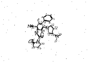 Cc1c(-c2ccccc2)c(N2CC[C@H](N(C)C)C2)c2oc(N3CCCC3=O)nc2c1C#N